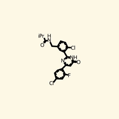 CC(C)C(=O)NCc1ccc(Cl)c(-c2nc(-c3ccc(Cl)cc3F)cc(=O)[nH]2)c1